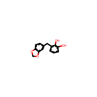 Oc1cccc(Cc2ccc3c(c2)OCO3)c1O